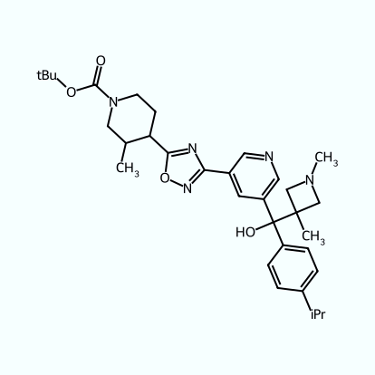 CC(C)c1ccc(C(O)(c2cncc(-c3noc(C4CCN(C(=O)OC(C)(C)C)CC4C)n3)c2)C2(C)CN(C)C2)cc1